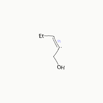 CC/C=[C]\CO